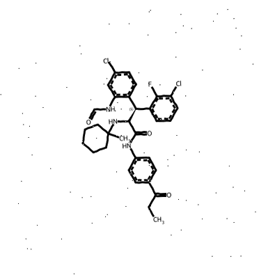 CCC(=O)c1ccc(NC(=O)C(NC2(C)CCCCC2)[C@@H](c2ccc(Cl)cc2NC=O)c2cccc(Cl)c2F)cc1